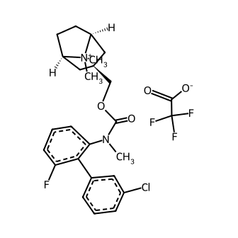 CN(C(=O)OC[C@H]1C[C@H]2CC[C@@H](C1)[N+]2(C)C)c1cccc(F)c1-c1cccc(Cl)c1.O=C([O-])C(F)(F)F